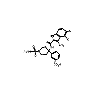 CC(=O)NS(=O)(=O)N1CCC(NC(=O)c2[nH]c3ccc(Cl)c(Cl)c3c2C)(c2cccc(C(=O)O)c2)CC1